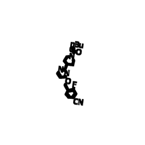 CCCCOC(=O)N1CCC(c2nccc(OCc3ccc(C#N)cc3F)n2)CC1